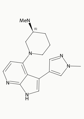 CN[C@H]1CCCN(c2ccnc3[nH]cc(-c4cnn(C)c4)c23)C1